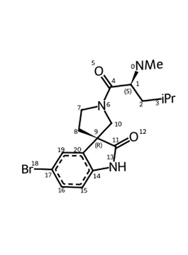 CN[C@@H](CC(C)C)C(=O)N1CC[C@@]2(C1)C(=O)Nc1ccc(Br)cc12